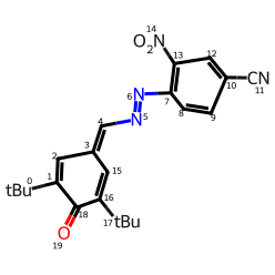 CC(C)(C)C1=CC(=CN=Nc2ccc(C#N)cc2[N+](=O)[O-])C=C(C(C)(C)C)C1=O